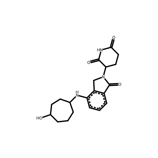 O=C1CCC(N2Cc3c(NC4CCCC(O)CC4)cccc3C2=O)C(=O)N1